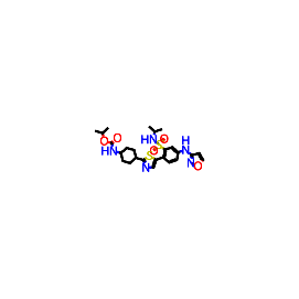 CC(C)NS(=O)(=O)c1cc(Nc2ccon2)ccc1-c1cnc(C2CCC(NC(=O)OC(C)C)CC2)s1